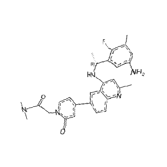 Cc1cc(N[C@H](C)c2cc(N)cc(C)c2F)c2cc(-c3ccn(CC(=O)N(C)C)c(=O)c3)ccc2n1